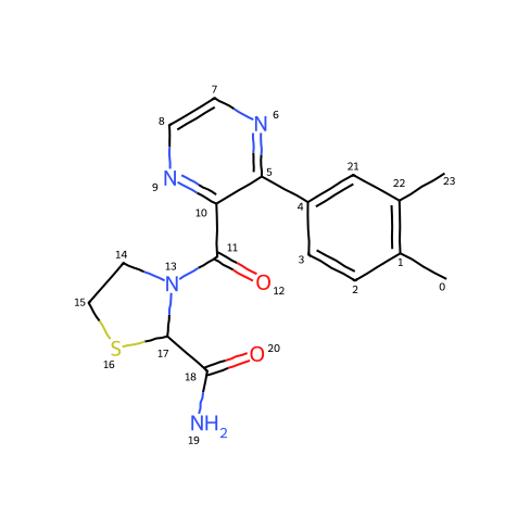 Cc1ccc(-c2nccnc2C(=O)N2CCSC2C(N)=O)cc1C